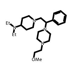 CCN(CC)C1CCN(CC(c2ccccc2)N2CCN(CCOC)CC2)CC1